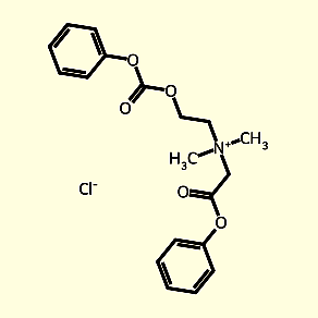 C[N+](C)(CCOC(=O)Oc1ccccc1)CC(=O)Oc1ccccc1.[Cl-]